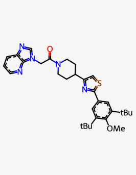 COc1c(C(C)(C)C)cc(-c2nc(C3CCN(C(=O)Cn4cnc5cccnc54)CC3)cs2)cc1C(C)(C)C